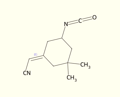 CC1(C)C/C(=C\C#N)CC(N=C=O)C1